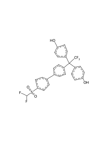 O=S(=O)(c1ccc(-c2ccc(C(c3ccc(O)cc3)(c3ccc(O)cc3)C(F)(F)F)cc2)cc1)C(F)F